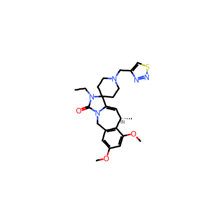 CCN1C(=O)N2Cc3cc(OC)cc(OC)c3[C@@H](C)C=C2C12CCN(Cc1csnn1)CC2